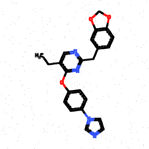 CCc1cnc(Cc2ccc3c(c2)OCO3)nc1Oc1ccc(-n2ccnc2)cc1